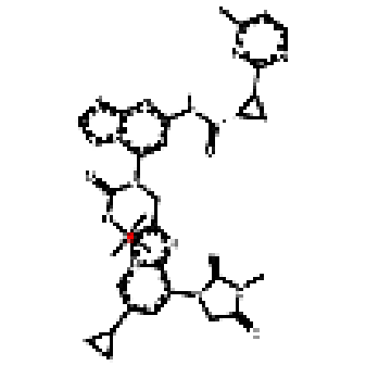 Cc1ccnc([C@H]2C[C@@H]2C(=O)Nc2cc(N(Cc3cn4cc(C5CC5)cc(N5CC(=O)N(C)C5=O)c4n3)C(=O)OC(C)(C)C)n3ncnc3n2)n1